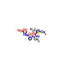 Cc1nc(C)c(C(=O)N[C@@H](C)C(=O)N2CCC[C@H]2C(=O)N[C@H](C=O)CC(=O)O)s1